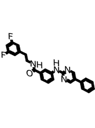 O=C(NCCc1cc(F)cc(F)c1)c1cccc(Nc2ncc(-c3ccccc3)cn2)c1